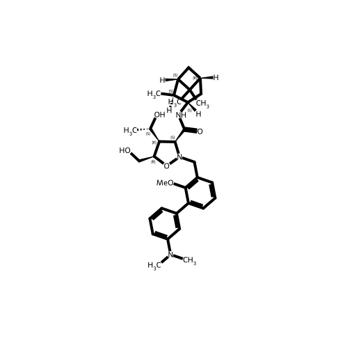 COc1c(CN2O[C@@H](CO)[C@@H]([C@H](C)O)[C@H]2C(=O)N[C@H]2C[C@H]3C[C@@H]([C@@H]2C)C3(C)C)cccc1-c1cccc(N(C)C)c1